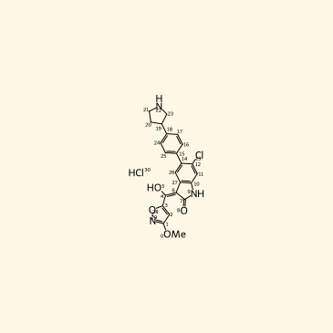 COc1cc(C(O)=C2C(=O)Nc3cc(Cl)c(-c4ccc(C5CCNC5)cc4)cc32)on1.Cl